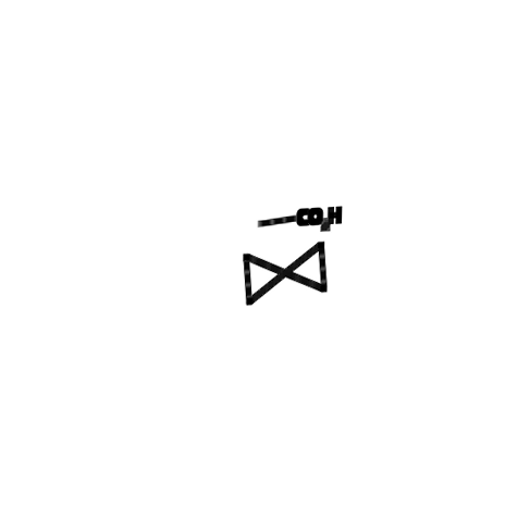 C1CC12CC2.CC(=O)O